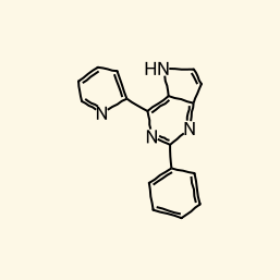 c1ccc(-c2nc(-c3ccccn3)c3[nH]ccc3n2)cc1